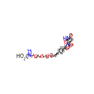 O=C(O)NCCOCCOCCOCCOCC#Cc1ccc([C@H]2CN([C@H]3CCC(=O)NC3=O)C(=O)O2)cc1